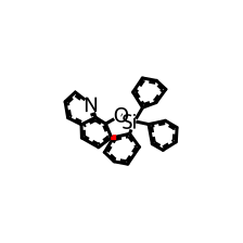 c1ccc([Si](Oc2cccc3cccnc23)(c2ccccc2)c2ccccc2)cc1